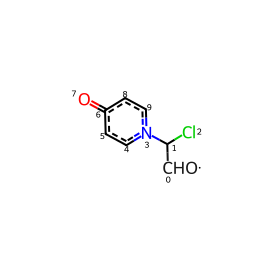 O=[C]C(Cl)n1ccc(=O)cc1